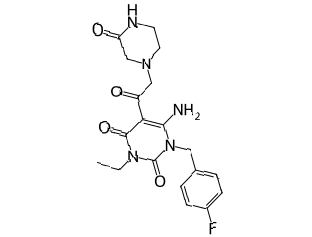 CCn1c(=O)c(C(=O)CN2CCNC(=O)C2)c(N)n(Cc2ccc(F)cc2)c1=O